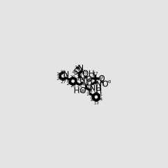 COC(=O)N[C@H](C(=O)N[C@@H](Cc1ccccc1)[C@@H](O)C[C@H](Cc1ccc(-c2ccccn2)cc1)N(Cc1cncs1)C(=O)O)C(C)(C)C